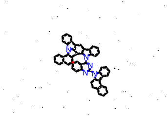 c1ccc2c(c1)ccc1c2c2ccccc2n1-c1nc(-n2c3ccccc3c3cc4c5ccccc5n5c6c7ccccc7ccc6c(c32)c45)c2ccccc2n1